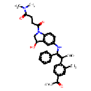 COC(=O)c1ccc(/C(C=O)=C(/Nc2ccc3c(c2)C(O)CN3C(=O)CCC(=O)N(C)C)c2ccccc2)c(C)c1